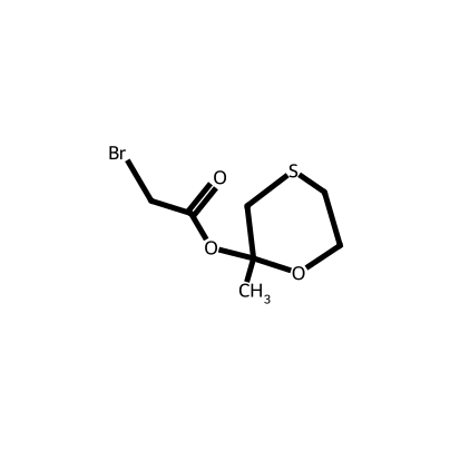 CC1(OC(=O)CBr)CSCCO1